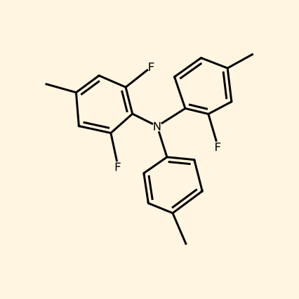 Cc1ccc(N(c2ccc(C)cc2F)c2c(F)cc(C)cc2F)cc1